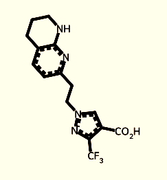 O=C(O)c1cn(CCc2ccc3c(n2)NCCC3)nc1C(F)(F)F